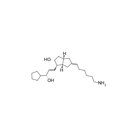 NCCCCCC=C1C[C@H]2C[C@@H](O)[C@H](/C=C/[C@H](O)C3CCCC3)[C@H]2C1